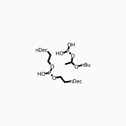 CCCCCCCCCCCCOP(O)OCCCCCCCCCCCC.CCCCOC(C)OP(O)O